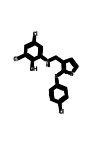 Oc1c(Cl)cc(Cl)cc1NCc1ccsc1Sc1ccc(Cl)cc1